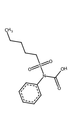 CCCCCS(=O)(=O)N(C(=O)O)c1ccccc1